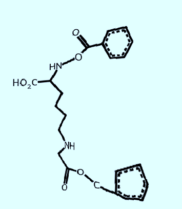 O=C(CNCCCCC(NOC(=O)c1ccccc1)C(=O)O)OCc1ccccc1